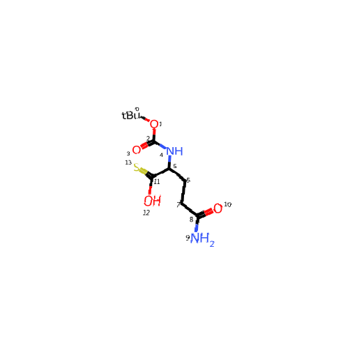 CC(C)(C)OC(=O)NC(CCC(N)=O)C(O)=S